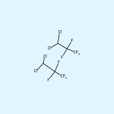 FC(F)(F)C(F)(F)C(Cl)Cl.FC(F)(F)C(F)(F)C(Cl)Cl